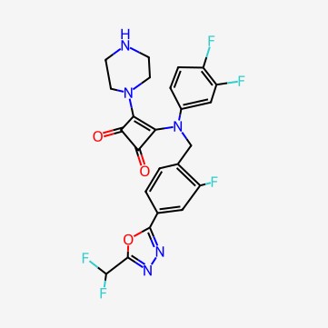 O=c1c(N2CCNCC2)c(N(Cc2ccc(-c3nnc(C(F)F)o3)cc2F)c2ccc(F)c(F)c2)c1=O